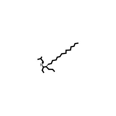 CCCCCCCCCCCCCC[C@@H](CCC)C(CC)/N=C/C(C)C